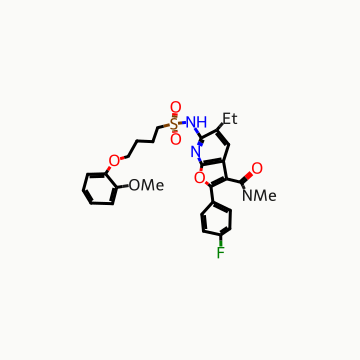 CCc1cc2c(C(=O)NC)c(-c3ccc(F)cc3)oc2nc1NS(=O)(=O)CCCCOc1ccccc1OC